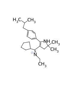 CC/N=C(\C1=C(c2ccc(CC(C)C)cc2)NC(C)(C)C1)C1CCCC1